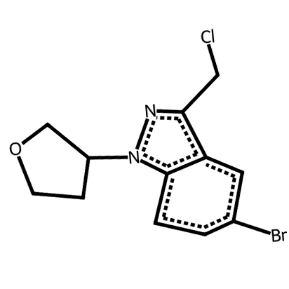 ClCc1nn(C2CCOC2)c2ccc(Br)cc12